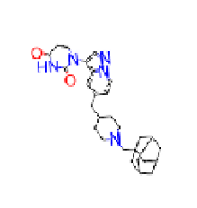 O=C1CCN(c2cnn3ccc(CC4CCN(CC56CC7CC(CC(C7)C5)C6)CC4)cc23)C(=O)N1